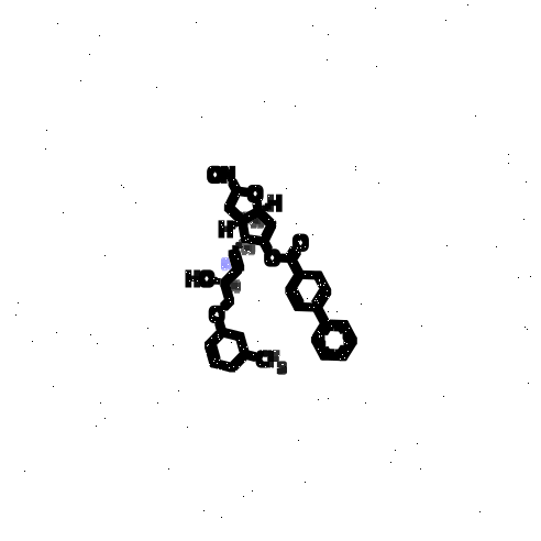 O=NC1C[C@H]2[C@H](CC(OC(=O)C3C=CC(c4ccccc4)=CC3)[C@@H]2/C=C/[C@@H](O)COC2C=CCC(C(F)(F)F)C2)O1